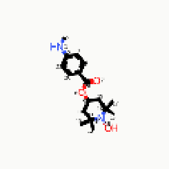 CNc1ccc(C(=O)OC2CC(C)(C)N(O)C(C)(C)C2)cc1